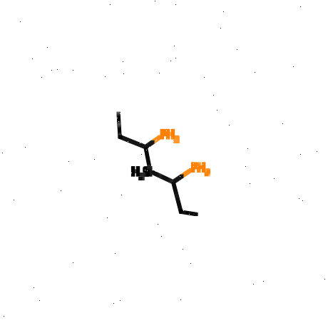 CCC(P)[SiH2]C(P)CC